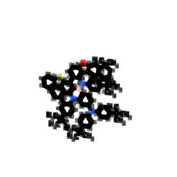 CC(C)(C)c1ccc(N2B3c4ccc(N(c5ccc(C(C)(C)C)cc5)c5ccc(C(C)(C)C)cc5)cc4N(c4ccc(C(C)(C)C)cc4-c4ccccc4)c4cc5c(sc6ccccc65)c(c43)-c3ccc4oc5cc6c(cc5c4c32)C(C)(C)CCC6(C)C)cc1